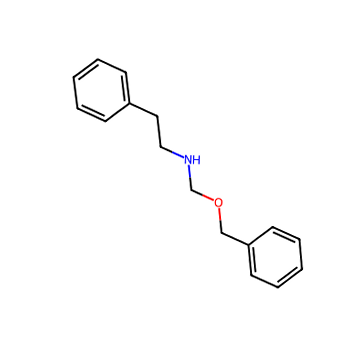 c1ccc(CCNCOCc2ccccc2)cc1